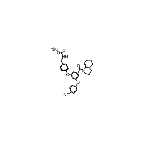 CC(C)(C)OC(=O)NCc1ccc(Oc2cc(Oc3ccc(C#N)cc3)cc(C(=O)N3CCCC4CCCC=C43)c2)cc1